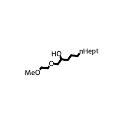 CCCCCCCCCCC(O)COCCOC